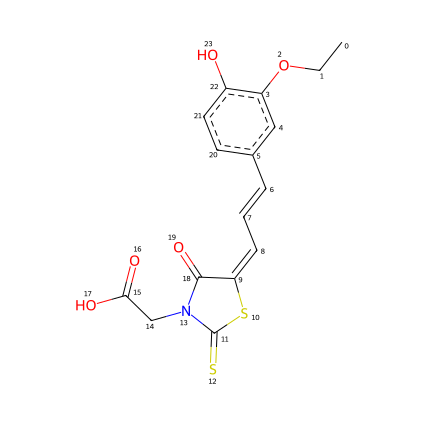 CCOc1cc(C=CC=C2SC(=S)N(CC(=O)O)C2=O)ccc1O